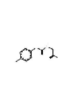 C[C@@H](NC(=O)Nc1ccc(Cl)cc1)C(=O)O